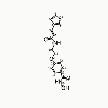 O=C(/C=C/c1ccsc1)NCCOc1ccc(C(=O)NO)cc1